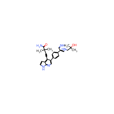 CC(C)(O)CN/C=C(\C=N)c1ccc(-c2cnc3[nH]ccc3c2C#CC(C)(C)C(N)=O)cc1